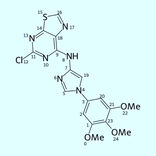 COc1cc(-n2cnc(Nc3nc(Cl)nc4scnc34)c2)cc(OC)c1OC